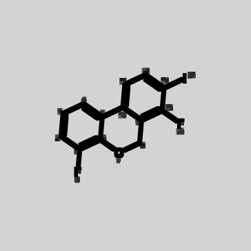 Fc1cccc2c1OCc1c-2ccc(I)c1F